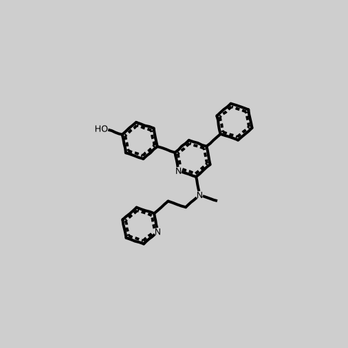 CN(CCc1ccccn1)c1cc(-c2ccccc2)cc(-c2ccc(O)cc2)n1